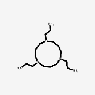 NCCN1CCCN(CCN)CCCN(CCN)CCC1